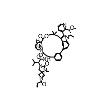 C=CC(=O)N1CC2(C1)CN([C@H](C(=O)N[C@H]1Cc3cccc(c3)-c3ccc4c(c3)c(c(-c3cccnc3[C@H](C)OC)n4CC)CC(C)(C)COC(=O)[C@@H]3CCCN(N3)C1=O)C(C)C)C(=O)N2C